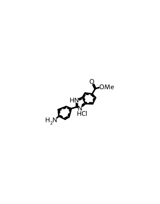 COC(=O)c1ccc2nc(-c3ccc(N)cc3)[nH]c2c1.Cl